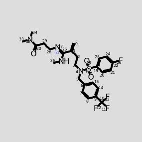 C=C(CCN(Cc1ccc(C(F)(F)F)cc1)S(=O)(=O)c1ccc(F)cc1)/C(=N/CCC(=O)N(C)C)NC